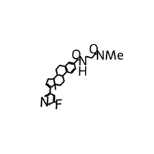 CNC(=O)CCNC(=O)c1ccc2c(c1)CCC1C2CCC2(C)C(c3cncc(F)c3)=CCC12